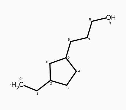 [CH2]CC1CCC(CCCO)C1